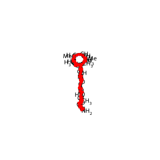 CO[C@H]1CC2CC[C@@H](C)[C@@](O)(O2)C(=O)C(=O)N2CCCC[C@H]2C(=O)O[C@H](CC[C@H]2CC[C@H](OC(=O)NCc3cnc(N4CCN(C(=O)CCOCCN5CCN(c6ncc(C(=O)NCCS(=O)(=O)c7ccc(C(=O)N8CCOc9ccc(-c%10ccc(N)nc%10)cc9C8)c(C)c7F)cn6)CC5)CC4)nc3)CC2)CC[C@H](C)/C=C(\C)[C@@H](O)[C@@H](OC)C(=O)[C@H](C)C[C@H](C)/C=C/C=C/C=C/1C